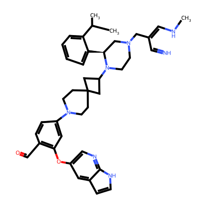 CN/C=C(\C=N)CN1CCN(C2CC3(CCN(c4ccc(C=O)c(Oc5cnc6[nH]ccc6c5)c4)CC3)C2)[C@@H](c2ccccc2C(C)C)C1